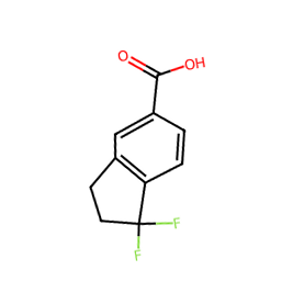 O=C(O)c1ccc2c(c1)CCC2(F)F